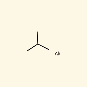 CC(C)C.[Al]